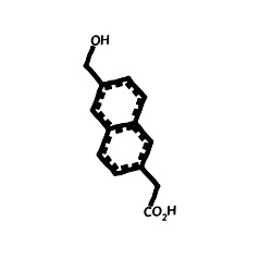 O=C(O)Cc1ccc2cc(CO)ccc2c1